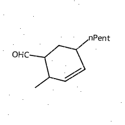 CCCCCC1C=CC(C)C(C=O)C1